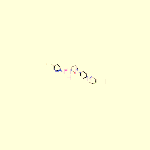 CC1(F)CCN(c2ccc(N3CCCC(NC(=O)Nc4ccc(Cl)cc4)C3=O)cc2)CC1